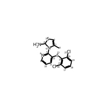 CC1=CSC(N)N1c1ncccc1Sc1c(Cl)cccc1Cl